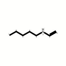 C=[C]NCCCCC